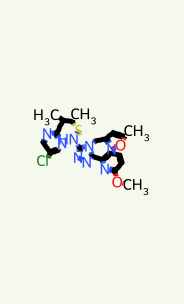 COc1cccc(-c2nnc(NSC(C)C(C)c3ncc(Cl)cn3)n2Cc2cc(C)on2)n1